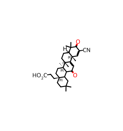 CC1(C)CC[C@]2(CCC(=O)O)CC[C@]3(C)C(C(=O)C=C4[C@@]5(C)C=C(C#N)C(=O)C(C)(C)[C@@H]5CC[C@]43C)C2C1